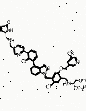 N#Cc1cncc(COC2C=C(Cn3ncc4c(-c5cccc(-c6ccc(CNC[C@@H]7CCC(=O)N7)cn6)c5Cl)cccc43)C(Cl)=CC2CN[C@@H](CO)C(=O)O)c1